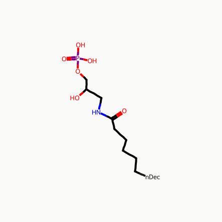 CCCCCCCCCCCCCCCC(=O)NCC(O)COP(=O)(O)O